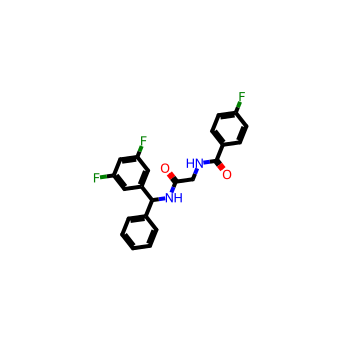 O=C(CNC(=O)c1ccc(F)cc1)NC(c1ccccc1)c1cc(F)cc(F)c1